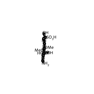 COc1cc(N=Nc2c(SOOO)cc3cc(N=Nc4ccc(N)cc4)ccc3c2O)c(OC)cc1N=Nc1ccc(-n2nc3ccc4c(SOOO)cc(S(=O)(=O)O)cc4c3n2)cc1